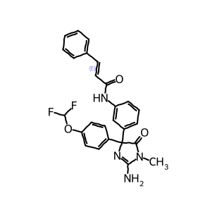 CN1C(=O)C(c2ccc(OC(F)F)cc2)(c2cccc(NC(=O)/C=C/c3ccccc3)c2)N=C1N